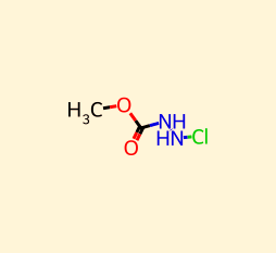 COC(=O)NNCl